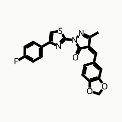 CC1=NN(c2nc(-c3ccc(F)cc3)cs2)C(=O)/C1=C\c1ccc2c(c1)OCO2